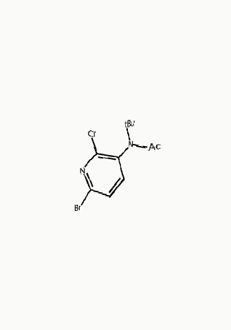 CC(=O)N(c1ccc(Br)nc1Cl)C(C)(C)C